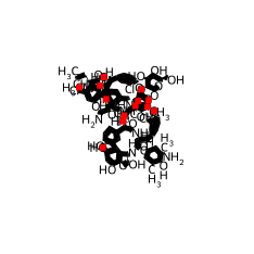 CN[C@H](CC(C)C)C(=O)N[C@H]1C(=O)N[C@@H](CC(N)=O)C(=O)N[C@H]2C(=O)N[C@H]3C(=O)N[C@H](C(=O)N[C@H](C(=O)O)c4cc(O)cc(O)c4-c4cc3ccc4O)[C@H](O[C@@H]3C[C@@H](C)[C@H](O)[C@@](C)(N)C3)c3ccc(c(Cl)c3)Oc3cc2cc(c3O[C@@H]2O[C@H](CO)[C@@H](O)[C@H](O)[C@H]2O[C@H]2C[C@](C)(NCc3ccc(-c4ccc(Cl)cc4)cc3)[C@@H](O)[C@H](C)O2)Oc2ccc(cc2Cl)[C@H]1O